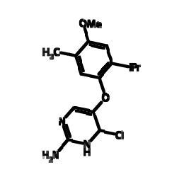 COc1cc(C(C)C)c(OC2=CN=C(N)NC2Cl)cc1C